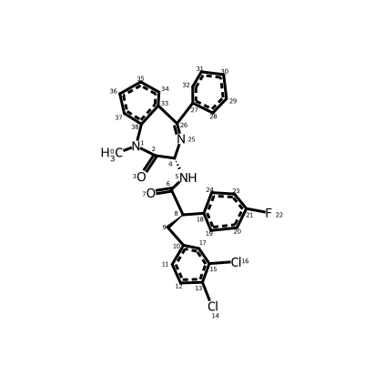 CN1C(=O)[C@@H](NC(=O)[C@H](Cc2ccc(Cl)c(Cl)c2)c2ccc(F)cc2)N=C(c2ccccc2)c2ccccc21